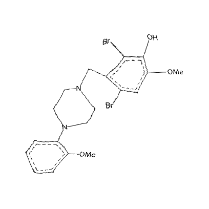 COc1ccccc1N1CCN(Cc2c(Br)cc(OC)c(O)c2Br)CC1